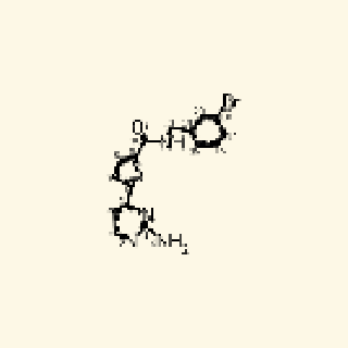 Nc1nccc(-c2ccc(C(=O)NCc3cccc(Br)c3)s2)n1